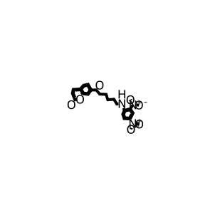 O=C(CCCCCNc1ccc([N+](=O)[O-])cc1[N+](=O)[O-])c1ccc2ccc(=O)oc2c1